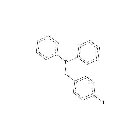 Ic1ccc(CP(c2ccccc2)c2ccccc2)cc1